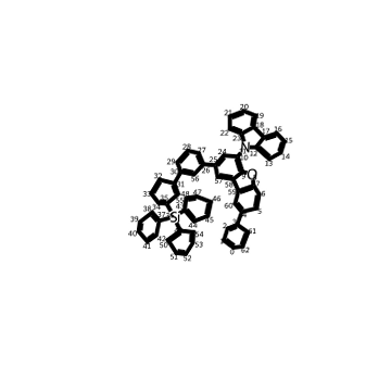 c1ccc(-c2ccc3oc4c(-n5c6ccccc6c6ccccc65)cc(-c5cccc(-c6cccc([Si](c7ccccc7)(c7ccccc7)c7ccccc7)c6)c5)cc4c3c2)cc1